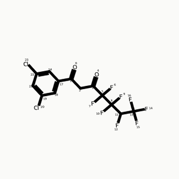 O=C(CC(=O)C(F)(F)C(F)(F)C(F)C(F)(F)F)c1cc(Cl)cc(Cl)c1